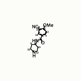 COc1ccc(C(=O)NC2CCNCC2)cc1C#N